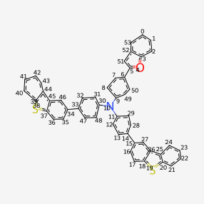 c1ccc2oc(-c3ccc(N(c4ccc(-c5ccc6sc7ccccc7c6c5)cc4)c4ccc(-c5ccc6sc7ccccc7c6c5)cc4)cc3)cc2c1